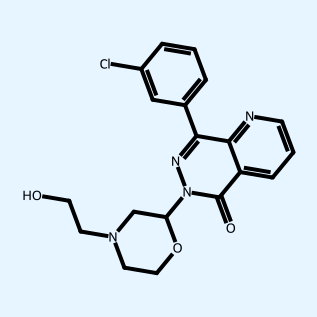 O=c1c2cccnc2c(-c2cccc(Cl)c2)nn1C1CN(CCO)CCO1